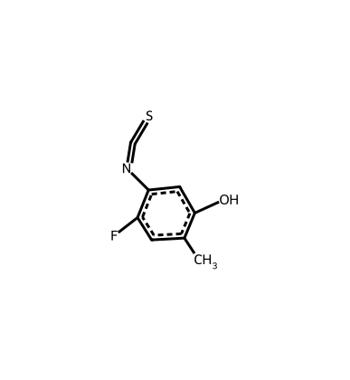 Cc1cc(F)c(N=C=S)cc1O